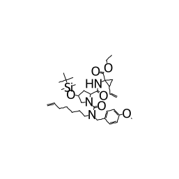 C=CCCCCCN(Cc1ccc(OC)cc1)C(=O)N1CC(O[Si](C)(C)C(C)(C)C)CC1C(=O)NC1(C(=O)OCC)CC1C=C